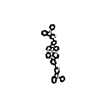 c1ccc(-n2c3ccccc3c3cc(-c4ccc5oc6c([Si](c7ccccc7)(c7ccccc7)c7nccc8c7sc7ccc(-c9cc%10c%11ccccc%11n(-c%11ccccc%11)c%10cn9)cc78)nccc6c5c4)ncc32)cc1